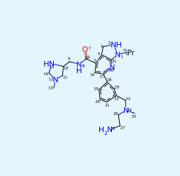 CC(C)N1NCc2c(C(=O)NCC3CN(C)CN3)cc(-c3cccc(CN(C)CCN)c3)nc21